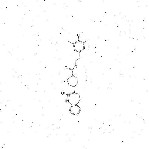 Cc1cc(CCOC(=O)N2CCC(C3=[N+]([O-])Nc4ccccc4CC3)CC2)cc(C)c1Cl